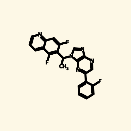 CC(c1c(F)cc2ncccc2c1F)n1cnc2ncc(-c3ccccc3F)nc21